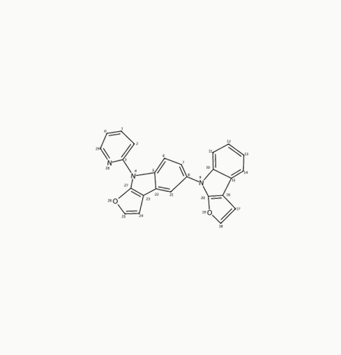 c1ccc(-n2c3ccc(-n4c5ccccc5c5ccoc54)cc3c3ccoc32)nc1